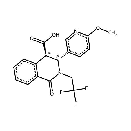 COc1ccc([C@H]2[C@H](C(=O)O)c3ccccc3C(=O)N2CC(F)(F)F)cn1